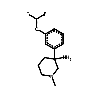 CN1CCCC(N)(c2cccc(OC(F)F)c2)C1